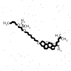 CC/C=C\COCC(COCCCCCCCCO[C@H]1CC[C@@]2(C)C(=CCC3C2CC[C@@]2(C)C3CC[C@@H]2[C@H](C)CCCC(C)C)C1)N(C)C